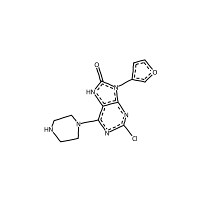 O=c1[nH]c2c(N3CCNCC3)nc(Cl)nc2n1-c1ccoc1